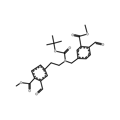 COC(=O)c1ccc(CCN(Cc2ccc(C=O)c(C(=O)OC)c2)C(=O)OC(C)(C)C)cc1C=O